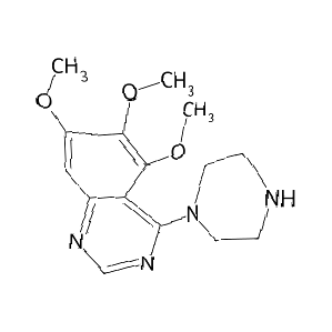 COc1cc2ncnc(N3CCNCC3)c2c(OC)c1OC